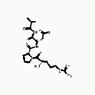 CC(C)C(=O)NC(=O)[C@H](CC(=O)O)NC(=O)[C@@H]1CCCN1C(=O)[C@@H](N)CCCNC(=N)N